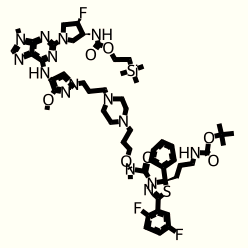 COc1nn(CCCN2CCN(CCCON(C)C(=O)N3N=C(c4cc(F)ccc4F)S[C@@]3(CCCNC(=O)OC(C)(C)C)c3ccccc3)CC2)cc1Nc1nc(N2C[C@@H](F)[C@H](NC(=O)OCC[Si](C)(C)C)C2)nc2c1ncn2C